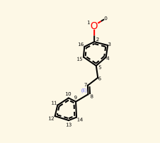 COc1ccc(C/C=C/c2ccccc2)cc1